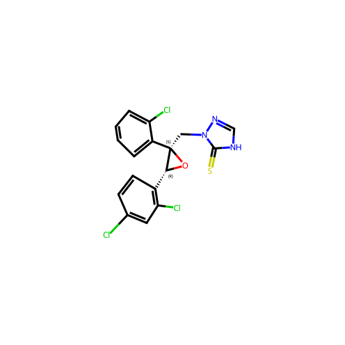 S=c1[nH]cnn1C[C@]1(c2ccccc2Cl)O[C@@H]1c1ccc(Cl)cc1Cl